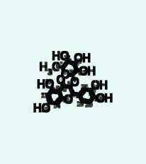 C[C@@H]1O[C@@H](OC2C(=O)c3c(O)cc(O)cc3OC2c2ccc(O)c(O)c2)[C@H](O)[C@H](O)[C@H]1O